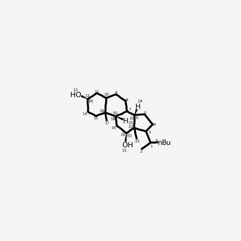 CCCCC(C)C1CC[C@H]2C3CCC4C[C@H](O)CCC4(C)[C@H]3C[C@H](O)C12C